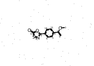 C=C(OC)c1ccc(-c2nsc(=O)o2)cc1